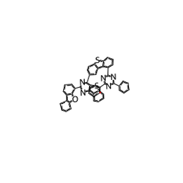 c1ccc(-c2nc(-c3ccccc3)nc(-c3cccc4sc5ccc(-c6nc(-c7cccc8c7oc7ccccc78)nc7c6sc6ccccc67)cc5c34)n2)cc1